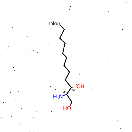 CCCCCCCCCCCCCCCCC[C@H](O)[C@H](N)CO